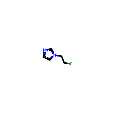 FCCn1[c]n[c]c1